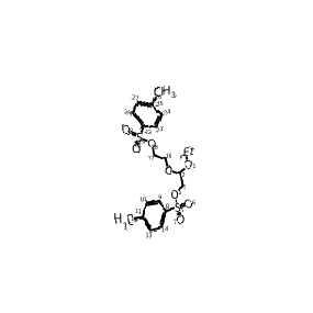 CCOC(COS(=O)(=O)c1ccc(C)cc1)OCCOS(=O)(=O)c1ccc(C)cc1